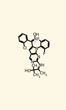 CC(Nc1ncc2cc(/C(=N/O)c3ccccc3Cl)n(-c3c(F)cccc3F)c2n1)C(C)(C)O